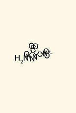 CN1N=C(c2ccc([N+](=O)[O-])cc2)c2cc3c(cc2CC1(C)C(N)=O)OCO3